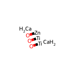 [CaH2].[CaH2].[O]=[Ti].[O]=[Ti].[O]=[Zn]